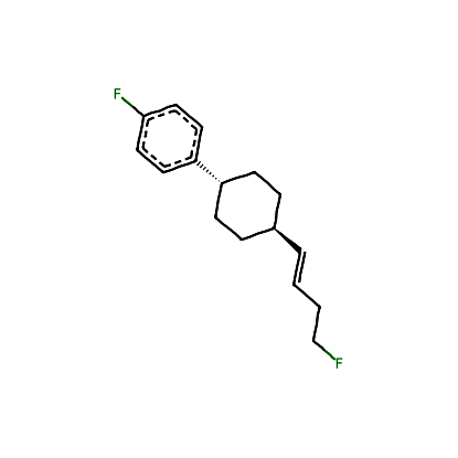 FCCC=C[C@H]1CC[C@H](c2ccc(F)cc2)CC1